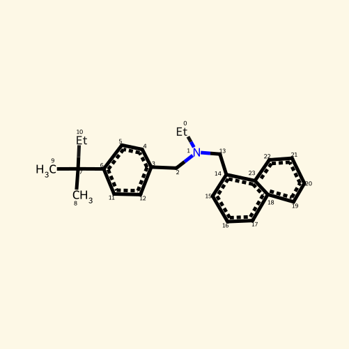 CCN(Cc1ccc(C(C)(C)CC)cc1)Cc1cccc2ccccc12